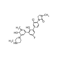 C[C@@H]1CN(C2=CC(c3cc(F)cc(-c4ccc(N5CCN(C)C5=O)c(Cl)c4)c3O)=CN(C)C2O)CCN1